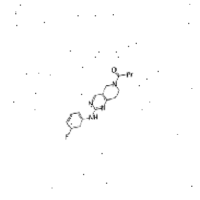 CC(C)C(=O)N1CCc2nc(Nc3cccc(F)c3)ncc2C1